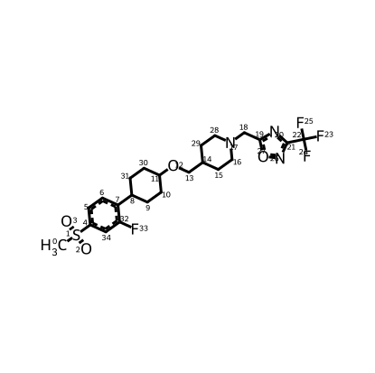 CS(=O)(=O)c1ccc(C2CCC(OCC3CCN(Cc4nc(C(F)(F)F)no4)CC3)CC2)c(F)c1